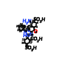 Nc1c(S(=O)(=O)O)ccc(C(=O)C(N=Nc2ccc(S(=O)(=O)O)cc2C(=O)O)=NNc2ccccc2)c1C(=O)O